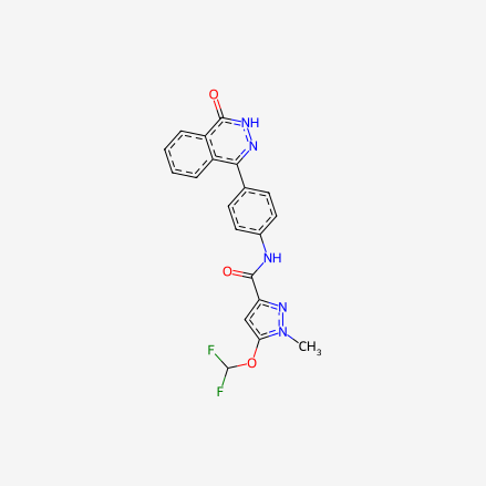 Cn1nc(C(=O)Nc2ccc(-c3n[nH]c(=O)c4ccccc34)cc2)cc1OC(F)F